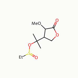 CCS(=O)OC(C)(C)C1COC(=O)C1OC